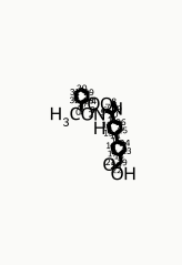 CC(OC(=O)Nc1ocnc1-c1ccc(-c2ccc(CC(=O)O)cc2)cc1)c1ccccc1